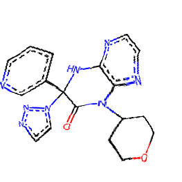 O=C1N(C2CCOCC2)c2nccnc2NC1(c1cccnc1)n1ccnn1